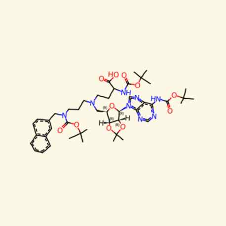 CC(C)(C)OC(=O)Nc1ncnc2c1ncn2[C@@H]1O[C@H](CN(CCCN(Cc2ccc3ccccc3c2)C(=O)OC(C)(C)C)CCC(NC(=O)OC(C)(C)C)C(=O)O)[C@H]2OC(C)(C)O[C@H]21